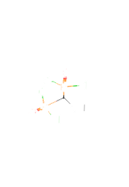 CC(P(=O)(Cl)Cl)P(=O)(Cl)Cl